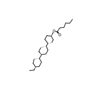 CCCCCC(=O)O[C@H]1CC[C@H]([C@H]2CC[C@H]([C@H]3CC[C@H](CC)CC3)CC2)CC1